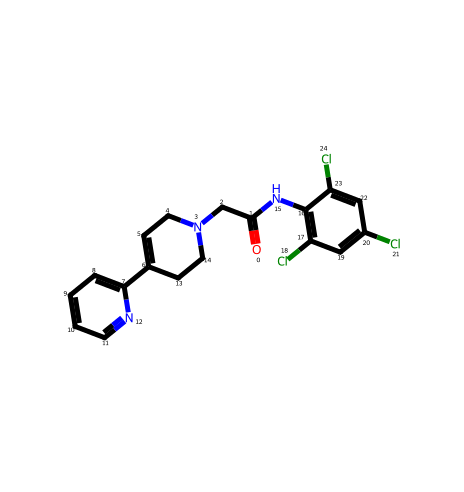 O=C(CN1CC=C(c2ccccn2)CC1)Nc1c(Cl)cc(Cl)cc1Cl